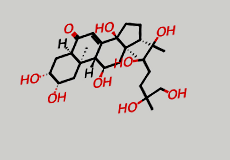 CC(O)(CO)CCC(O)C(C)(O)[C@H]1CC[C@@]2(O)C3=CC(=O)[C@@H]4C[C@@H](O)[C@@H](O)C[C@]4(C)[C@H]3[C@H](O)C[C@]12C